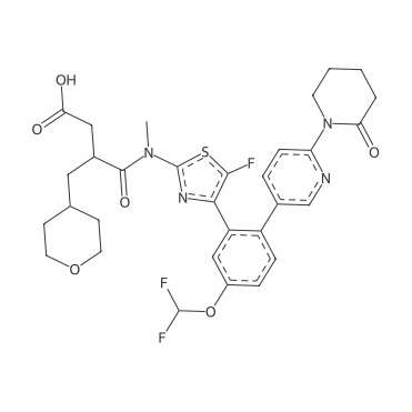 CN(C(=O)C(CC(=O)O)CC1CCOCC1)c1nc(-c2cc(OC(F)F)ccc2-c2ccc(N3CCCCC3=O)nc2)c(F)s1